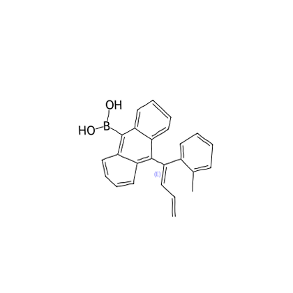 C=C/C=C(\c1ccccc1C)c1c2ccccc2c(B(O)O)c2ccccc12